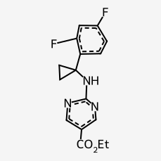 CCOC(=O)c1cnc(NC2(c3ccc(F)cc3F)CC2)nc1